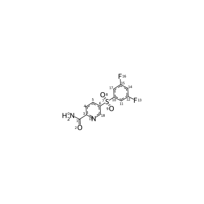 NC(=O)c1ccc(S(=O)(=O)c2cc(F)cc(F)c2)cn1